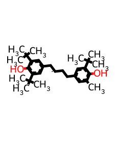 Cc1cc(CC[CH]Cc2cc(C(C)(C)C)c(O)c(C(C)(C)C)c2)cc(C(C)(C)C)c1O